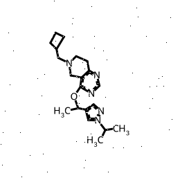 CC(Oc1ncnc2c1CN(CC1CCC1)CC2)c1cnn(C(C)C)c1